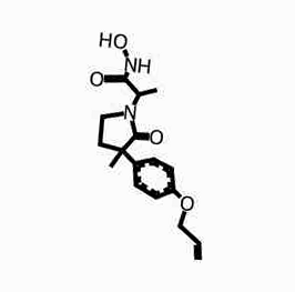 C=CCOc1ccc(C2(C)CCN(C(C)C(=O)NO)C2=O)cc1